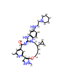 Cc1cc2cc(n1)-c1cnn(C)c1OCCCC(C1CC1)CN1/C(=N/C2=O)Nc2cc(NCCN3CCCCC3)ccc21